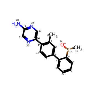 Cc1cc(-c2ccccc2[S+](C)[O-])ccc1-c1cnc(N)cn1